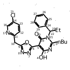 CCCCc1nc(O)c(-c2nnc(Cc3ccc(Cl)cn3)o2)c(=O)n1C(CC)c1ccccc1